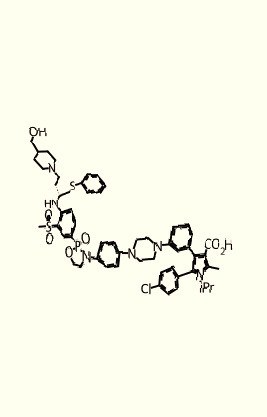 Cc1c(C(=O)O)c(-c2cccc(N3CCN(c4ccc(N5CCO[P@@]5(=O)c5ccc(N[C@H](CCN6CCC(CO)CC6)CSc6ccccc6)c(S(C)(=O)=O)c5)cc4)CC3)c2)c(-c2ccc(Cl)cc2)n1C(C)C